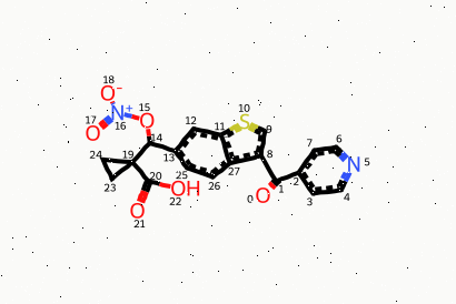 O=C(c1ccncc1)c1csc2cc(C(O[N+](=O)[O-])C3(C(=O)O)CC3)ccc12